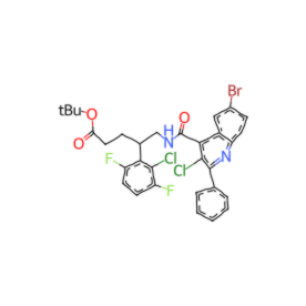 CC(C)(C)OC(=O)CCC(CNC(=O)c1c(Cl)c(-c2ccccc2)nc2ccc(Br)cc12)c1c(F)ccc(F)c1Cl